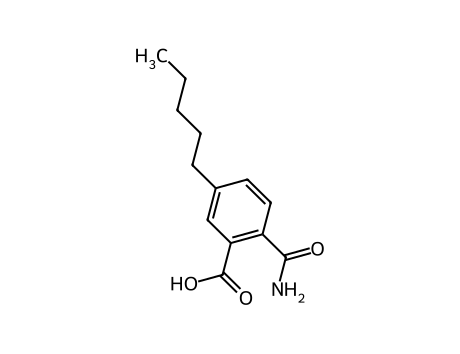 CCCCCc1ccc(C(N)=O)c(C(=O)O)c1